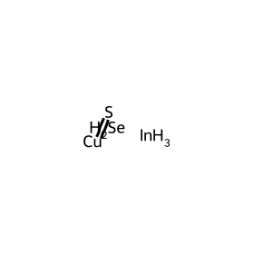 [InH3].[S]=[Cu].[SeH2]